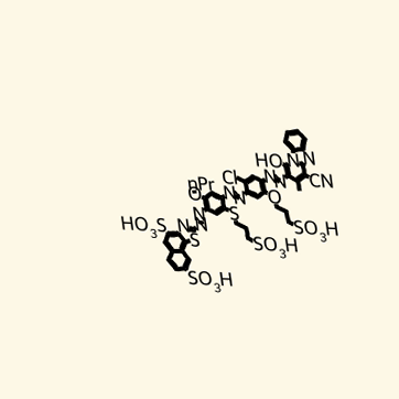 CCCOc1cc(N=Nc2cc(OCCCS(=O)(=O)O)c(N=Nc3c(C)c(C#N)c4nc5ccccc5n4c3O)cc2Cl)c(SCCCS(=O)(=O)O)cc1N=Nc1nc2c(S(=O)(=O)O)cc3ccc(S(=O)(=O)O)cc3c2s1